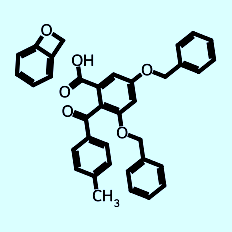 Cc1ccc(C(=O)c2c(OCc3ccccc3)cc(OCc3ccccc3)cc2C(=O)O)cc1.c1ccc2c(c1)CO2